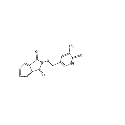 O=C1c2ccccc2C(=O)N1OCc1c[nH]c(=O)c(C(F)(F)F)c1